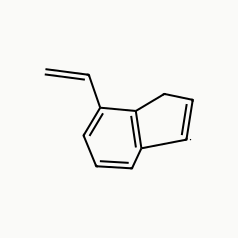 C=Cc1cccc2c1CC=[C]2